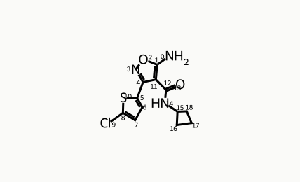 Nc1onc(-c2ccc(Cl)s2)c1C(=O)NC1CCC1